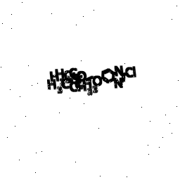 CC(C)(C)[Si](C)(C)OCCOc1ccc2nc(Cl)cnc2c1